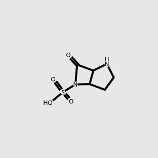 O=C1C2NCCC2N1S(=O)(=O)O